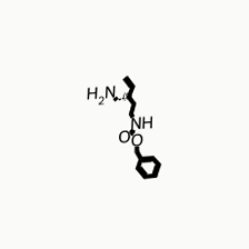 C=C[C@@H](CN)CCNC(=O)OCc1ccccc1